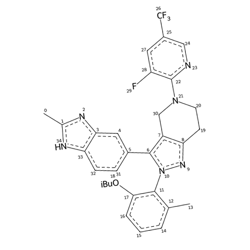 Cc1nc2cc(-c3c4c(nn3-c3c(C)cccc3OCC(C)C)CCN(c3ncc(C(F)(F)F)cc3F)C4)ccc2[nH]1